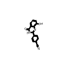 N#Cc1ccc(-c2nc3c(O)cccc3c(=O)[nH]2)cc1